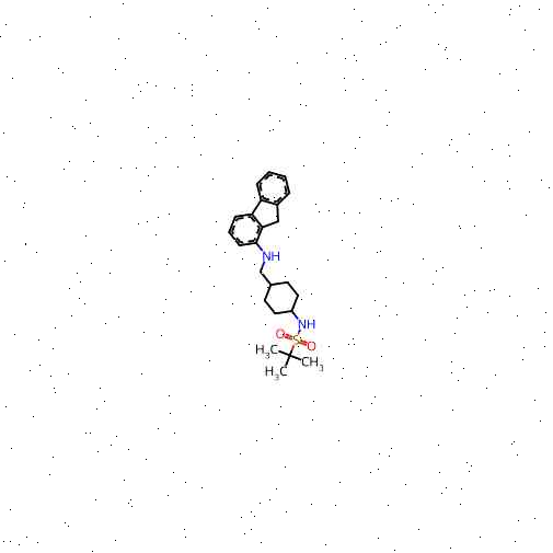 CC(C)(C)S(=O)(=O)NC1CCC(CNc2cccc3c2Cc2ccccc2-3)CC1